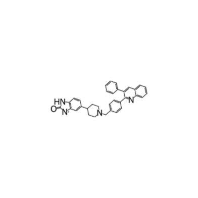 O=C1[N]c2cc(C3CCN(Cc4ccc(-c5nc6ccccc6cc5-c5ccccc5)cc4)CC3)ccc2N1